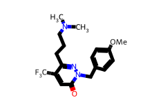 COc1ccc(Cn2nc(CCCN(C)C)c(C(F)(F)F)cc2=O)cc1